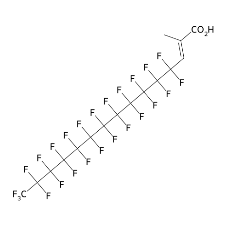 CC(=CC(F)(F)C(F)(F)C(F)(F)C(F)(F)C(F)(F)C(F)(F)C(F)(F)C(F)(F)C(F)(F)C(F)(F)C(F)(F)C(F)(F)F)C(=O)O